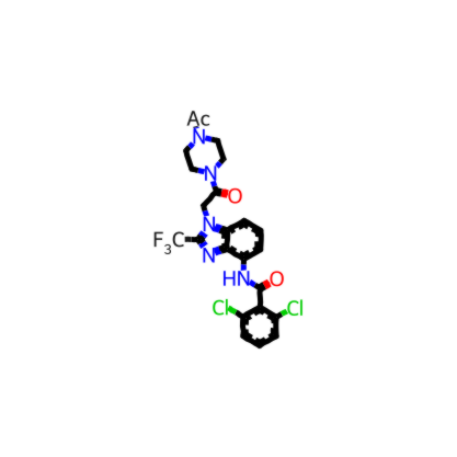 CC(=O)N1CCN(C(=O)Cn2c(C(F)(F)F)nc3c(NC(=O)c4c(Cl)cccc4Cl)cccc32)CC1